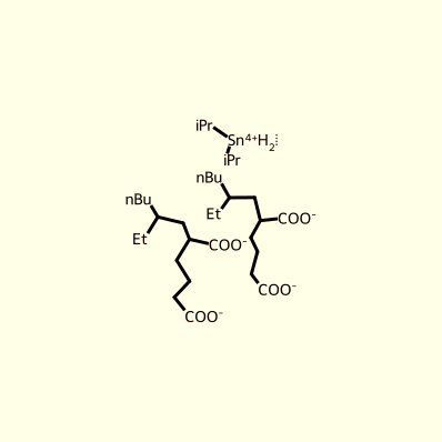 CCCCC(CC)CC(CCCC(=O)[O-])C(=O)[O-].CCCCC(CC)CC(CCCC(=O)[O-])C(=O)[O-].C[CH](C)[SnH2+4][CH](C)C